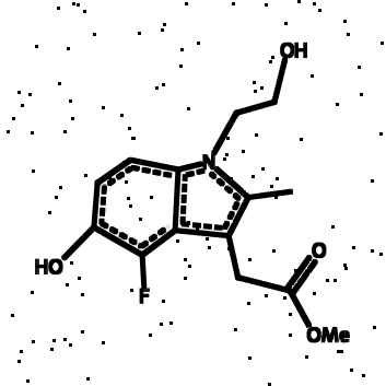 COC(=O)Cc1c(C)n(CCO)c2ccc(O)c(F)c12